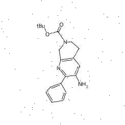 CC(C)(C)OC(=O)N1CCc2cc(N)c(-c3ccccc3)nc2C1